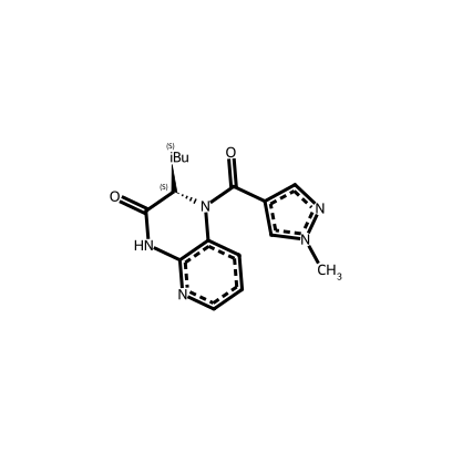 CC[C@H](C)[C@H]1C(=O)Nc2ncccc2N1C(=O)c1cnn(C)c1